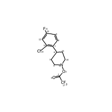 O=C(ON1CCC(c2ccc(F)cc2Cl)CC1)C(F)(F)F